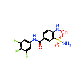 NS(=O)(=O)c1cc(C(=O)Nc2cc(F)c(F)c(F)c2)ccc1NO